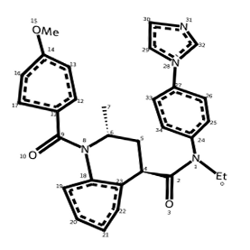 CCN(C(=O)[C@@H]1C[C@@H](C)N(C(=O)c2ccc(OC)cc2)c2ccccc21)c1ccc(-n2ccnc2)cc1